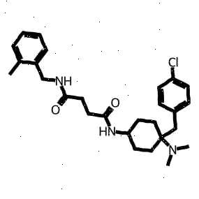 Cc1ccccc1CNC(=O)CCC(=O)NC1CCC(Cc2ccc(Cl)cc2)(N(C)C)CC1